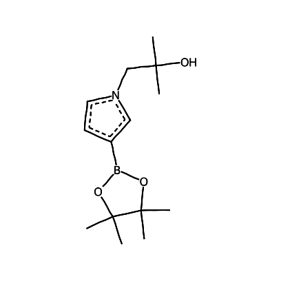 CC(C)(O)Cn1ccc(B2OC(C)(C)C(C)(C)O2)c1